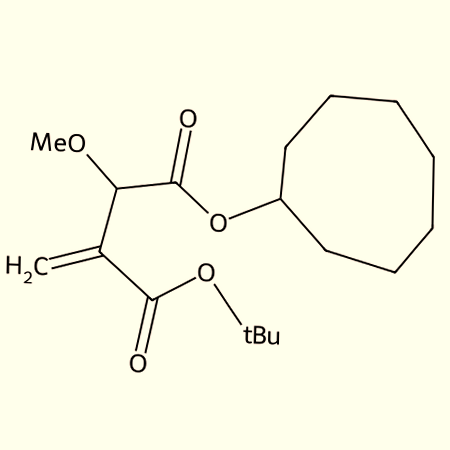 C=C(C(=O)OC(C)(C)C)C(OC)C(=O)OC1CCCCCCC1